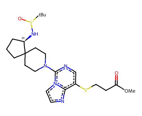 COC(=O)CCSc1cnc(N2CCC3(CCC[C@H]3N[S+]([O-])C(C)(C)C)CC2)n2ccnc12